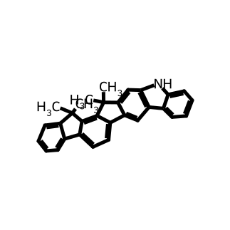 CC1(C)c2ccccc2-c2ccc3c(c21)C(C)(C)c1cc2[nH]c4ccccc4c2cc1-3